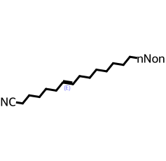 CCCCCCCCCCCCCCCC/C=C/CCCCCC#N